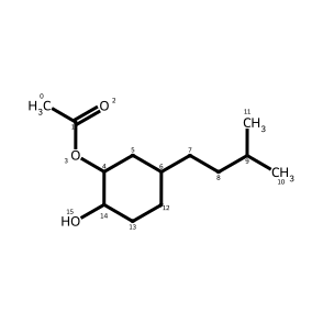 CC(=O)OC1CC(CCC(C)C)CCC1O